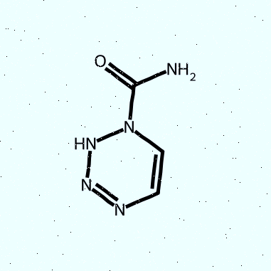 NC(=O)N1C=CN=NN1